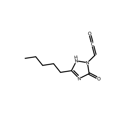 CCCCCc1nc(=O)n(C=C=O)[nH]1